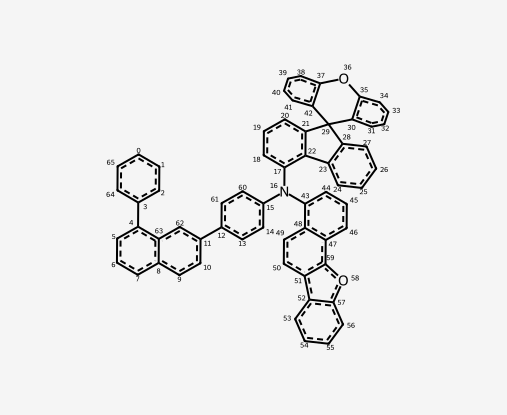 c1ccc(-c2cccc3ccc(-c4ccc(N(c5cccc6c5-c5ccccc5C65c6ccccc6Oc6ccccc65)c5cccc6c5ccc5c7ccccc7oc65)cc4)cc23)cc1